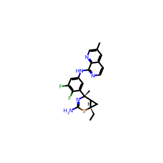 CC[C@]12C[C@H]1[C@@](C)(c1cc(Nc3nccc4cc(C)cnc34)cc(F)c1F)N=C(N)S2